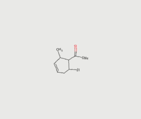 CCC1CC=CC(C)C1C(=O)OC